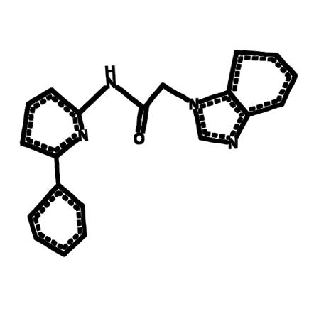 O=C(Cn1cnc2ccccc21)Nc1cccc(-c2ccccc2)n1